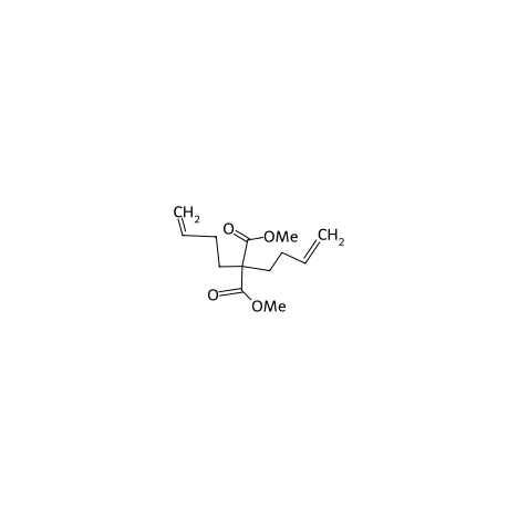 C=CCCC(CCC=C)(C(=O)OC)C(=O)OC